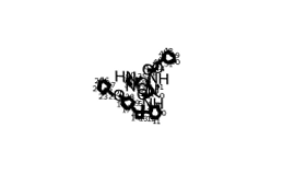 C[C@@H](C(=O)NCC1(c2ccccc2)CCC1c1ccc(OCc2ccccc2)cc1)N(C)C(=O)[C@H](Cc1cnc[nH]1)NC(=O)OCc1ccccc1